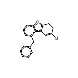 ClC1=Cc2c(oc3cccc(Cc4ccccc4)c23)CC1